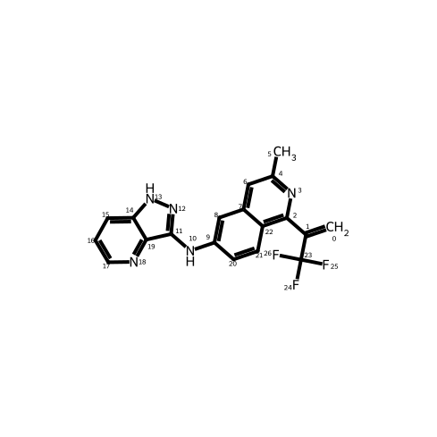 C=C(c1nc(C)cc2cc(Nc3n[nH]c4cccnc34)ccc12)C(F)(F)F